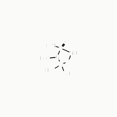 CN1[Si](C)(C)ONP1(N)=O